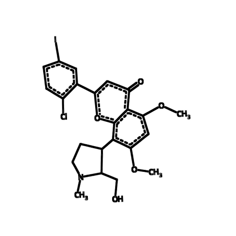 COc1cc(OC)c2c(=O)cc(-c3cc(I)ccc3Cl)oc2c1C1CCN(C)C1CO